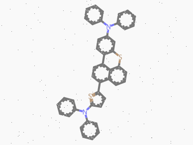 c1ccc(N(c2ccccc2)c2ccc3c(c2)Sc2cccc4c(-c5ccc(N(c6ccccc6)c6ccccc6)s5)ccc-3c24)cc1